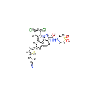 CCc1c(C(=O)NN2CCS(=O)(=O)CC2)nn(-c2ccc(Cl)cc2Cl)c1-c1ccc(-c2ccc(CCC#N)s2)cc1